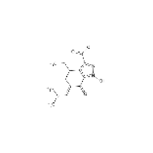 CCC1CC(=CN(C)C)C(=O)c2c1c(C(=O)O)nn2C